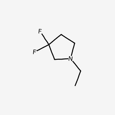 CCN1CCC(F)(F)C1